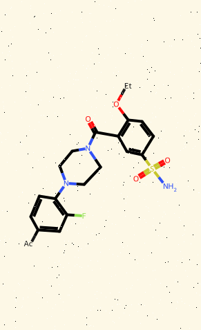 CCOc1ccc(S(N)(=O)=O)cc1C(=O)N1CCN(c2ccc(C(C)=O)cc2F)CC1